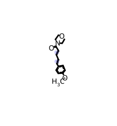 COc1ccc(/C=C/C=C/C(=O)N2CCOCC2)cc1